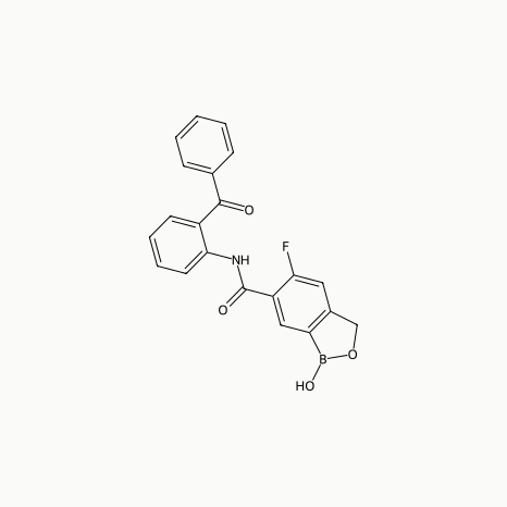 O=C(Nc1ccccc1C(=O)c1ccccc1)c1cc2c(cc1F)COB2O